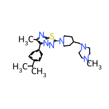 Cc1nc2sc(N3CCC(CN4CCN(C)CC4)CC3)nn2c1-c1ccc(C(C)C)cc1